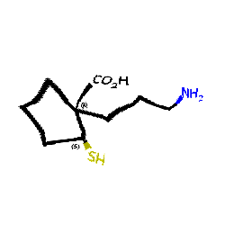 NCCC[C@@]1(C(=O)O)CCC[C@@H]1S